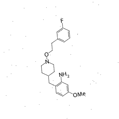 COc1ccc(CC2CCN(OCCc3cccc(F)c3)CC2)c(N)c1